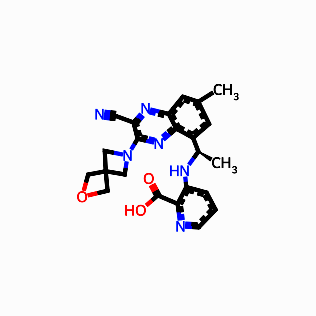 Cc1cc([C@@H](C)Nc2cccnc2C(=O)O)c2nc(N3CC4(COC4)C3)c(C#N)nc2c1